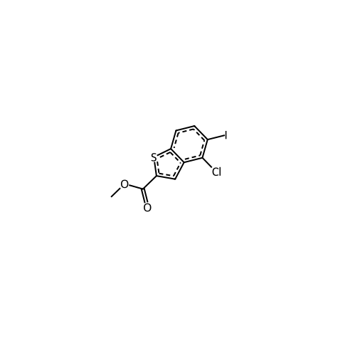 COC(=O)c1cc2c(Cl)c(I)ccc2s1